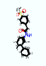 CCS(=O)(=O)c1ccc(CC(=O)Nc2ccc(C)c(-c3ccccc3)c2)cc1